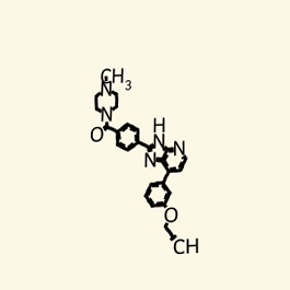 C#CCOc1cccc(-c2ccnc3[nH]c(-c4ccc(C(=O)N5CCN(C)CC5)cc4)nc23)c1